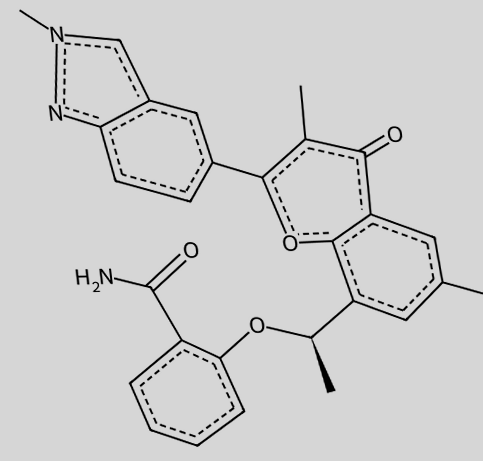 Cc1cc([C@@H](C)Oc2ccccc2C(N)=O)c2oc(-c3ccc4nn(C)cc4c3)c(C)c(=O)c2c1